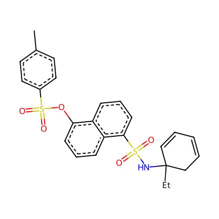 CCC1(NS(=O)(=O)c2cccc3c(OS(=O)(=O)c4ccc(C)cc4)cccc23)C=CC=CC1